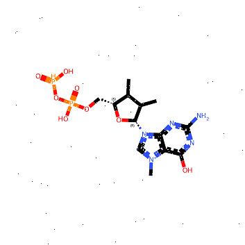 CC1C(C)[C@@H](COP(=O)(O)O[PH](=O)O)O[C@H]1n1c[n+](C)c2c(O)nc(N)nc21